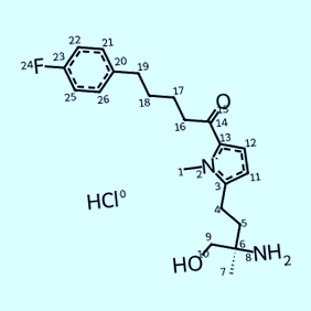 Cl.Cn1c(CC[C@@](C)(N)CO)ccc1C(=O)CCCCc1ccc(F)cc1